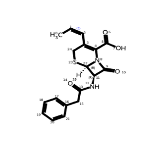 C/C=C\C1=C(C(=O)O)N2C(=O)[C@@H](NC(=O)Cc3ccccc3)[C@H]2SC1